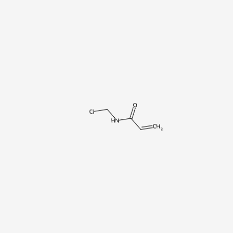 C=CC(=O)NCCl